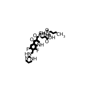 CCCCS(=O)(=O)NC(CN(C)C(=O)c1c[nH]c2c(F)c(CNC3N=CCCN3)c(F)cc2c1=O)C(=O)O